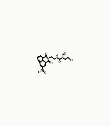 O=NN(CCCl)C(=O)NCCN1C(=O)c2cccc3cc([N+](=O)[O-])cc(c23)C1=O